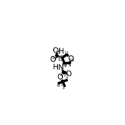 CC(C)(C)OC(=O)N[C@@H]1COC[C@@H]1C(=O)O